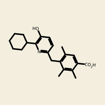 Cc1cc(C(=O)O)c(C)c(C)c1Cc1ccc(O)c(C2CCCCC2)n1